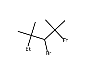 CCC(C)(C)C(Br)C(C)(C)CC